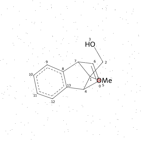 COC1(CO)C2C=CC1c1ccccc12